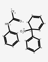 O=C(Nc1ccccc1)C(F)(F)F.O=[N+]([O-])C1(c2ccccc2)C=CC=CC1